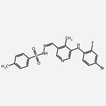 Cc1ccc(S(=O)(=O)N/N=C\c2cncc(Nc3ccc(Br)cc3F)c2C)cc1